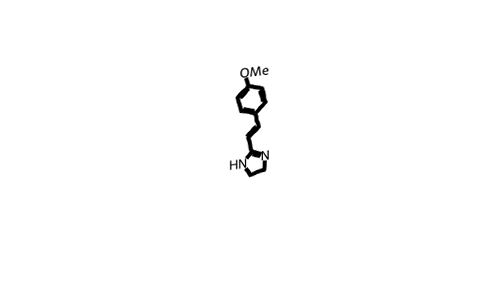 COc1ccc(C=CC2=NCCN2)cc1